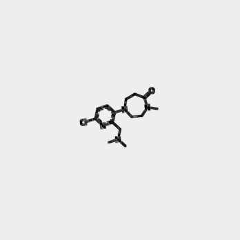 CN(C)Cc1nc(Cl)ccc1N1CCC(=O)N(C)CC1